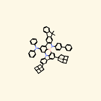 CC1(C)c2ccccc2-c2cc3c(cc21)N(c1ccc(-c2ccccc2)cc1)B1c2c-3cc(N(c3ccccc3)c3ccccc3)cc2-n2c3ccc(C45CC6CC7CC(C4)C765)cc3c3cc(C45CC6CC7CC(C4)C76C5)cc1c32